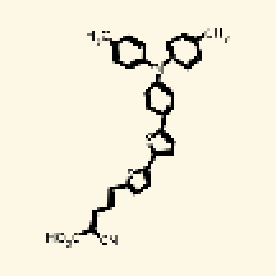 Cc1ccc(N(c2ccc(C)cc2)c2ccc(-c3ccc(-c4ccc(/C=C/C=C(\C#N)C(=O)O)s4)s3)cc2)cc1